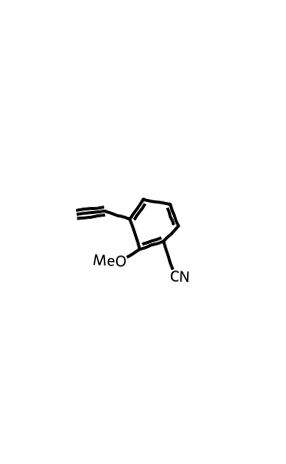 C#Cc1cccc(C#N)c1OC